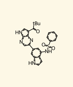 CC(C)(C)C(=O)c1c[nH]c2ncc(-c3cc(NS(=O)(=O)c4ccccc4)c4cc[nH]c4c3)nc12